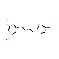 COc1ccc(/C=C/C=C/c2cc(OC)cc(OC)c2)cc1